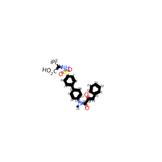 CC(C)[C@@H](NS(=O)(=O)c1ccc(-c2ccc(N(C)C(=O)c3cc4ccccc4o3)cc2)cc1)C(=O)O